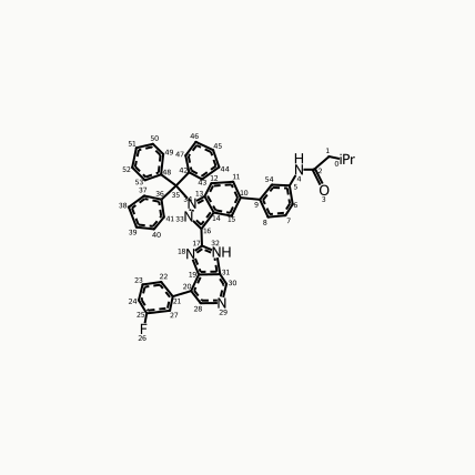 CC(C)CC(=O)Nc1cccc(-c2ccc3c(c2)c(-c2nc4c(-c5cccc(F)c5)cncc4[nH]2)nn3C(c2ccccc2)(c2ccccc2)c2ccccc2)c1